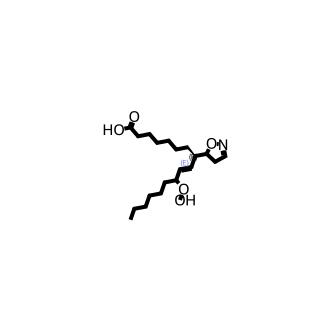 CCCCCCC(/C=C/[C@@H](CCCCCCC(=O)O)C1CC=NO1)OO